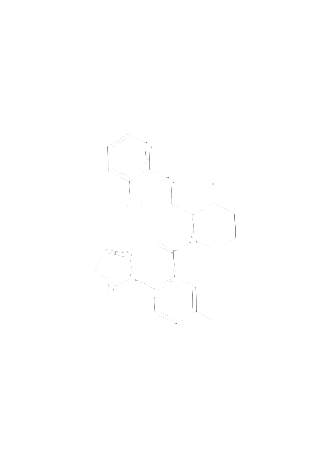 Cc1ccc(-n2nccn2)c(C(=O)N2CCC[C@@H](C)C2CNc2ncccc2C)c1